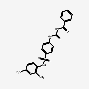 Cc1ccc(NS(=O)(=O)c2ccc(NC(=S)NC(=O)c3ccccc3)cc2)c(C)c1